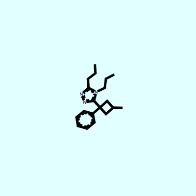 CCCc1nnc(C2(c3ccccc3)CC(C)C2)n1CCC